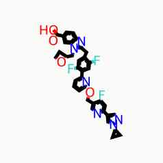 O=C(O)c1ccc2nc(Cc3cc(F)c(-c4cccc(OCc5cnc(-c6cnn(C7CC7)c6)cc5F)n4)cc3F)n(CC3CCO3)c2c1